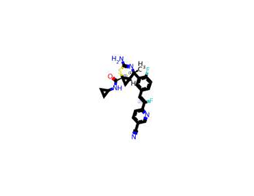 C[C@]1(c2cc(/C=C(\F)c3ccc(C#N)cn3)ccc2F)N=C(N)S[C@@]2(C(=O)NC3CC3)C[C@H]21